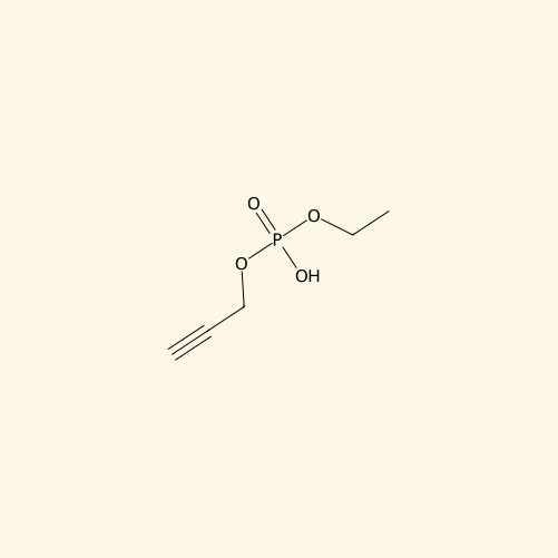 C#CCOP(=O)(O)OCC